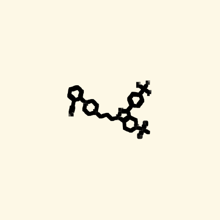 CS(=O)(=O)N1CCc2c(c(-c3ccc(C(F)(F)F)cc3)nn2CCCN2CCN(c3ccccc3C#N)CC2)C1